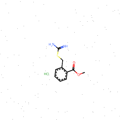 COC(=O)c1ccccc1CSC(=N)N.Cl